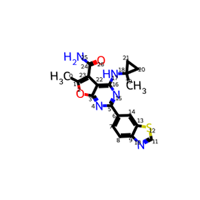 Cc1oc2nc(-c3ccc4ncsc4c3)nc(NC3(C)CC3)c2c1C(N)=O